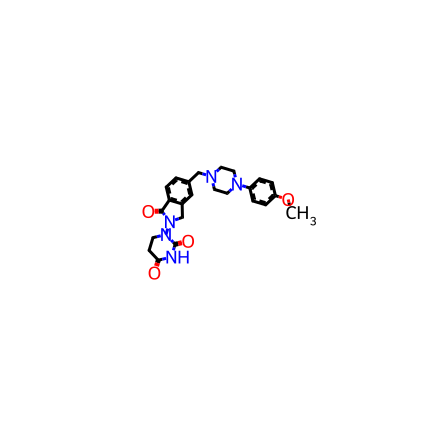 COc1ccc(N2CCN(Cc3ccc4c(c3)CN(N3CCC(=O)NC3=O)C4=O)CC2)cc1